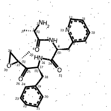 C[C@H](N)C(=O)N[C@@H](Cc1ccccn1)C(=O)N[C@@H](Cc1ccccc1)C(=O)[C@]1(C)CO1